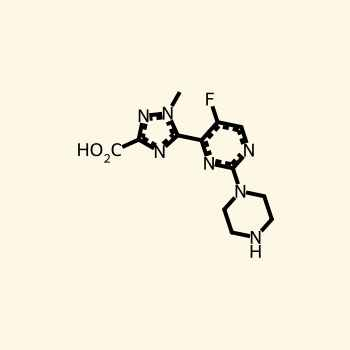 Cn1nc(C(=O)O)nc1-c1nc(N2CCNCC2)ncc1F